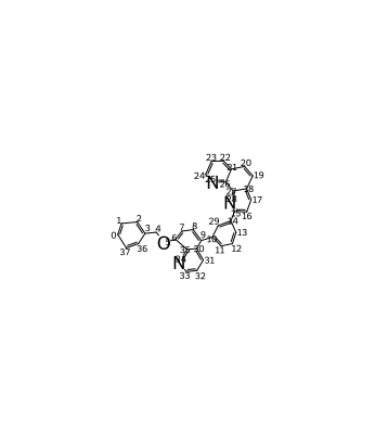 c1ccc(COc2ccc(-c3cccc(-c4ccc5ccc6cccnc6c5n4)c3)c3cccnc23)cc1